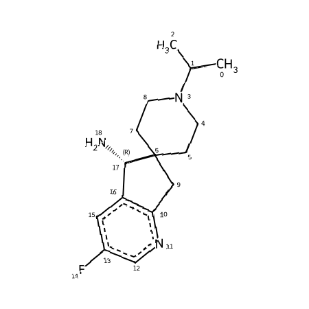 CC(C)N1CCC2(CC1)Cc1ncc(F)cc1[C@@H]2N